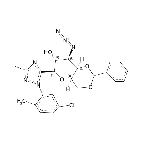 Cc1nc([C@@H]2O[C@@H]3COC(c4ccccc4)O[C@@H]3[C@H](N=[N+]=[N-])[C@H]2O)n(-c2cc(Cl)ccc2C(F)(F)F)n1